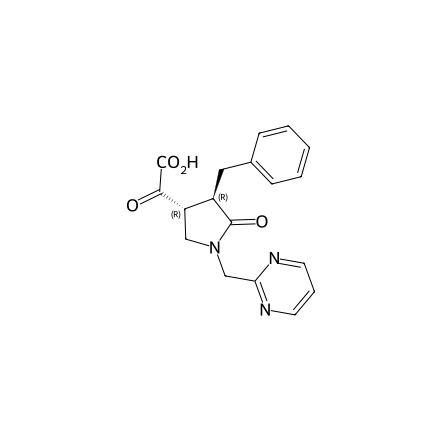 O=C(O)C(=O)[C@H]1CN(Cc2ncccn2)C(=O)[C@@H]1Cc1ccccc1